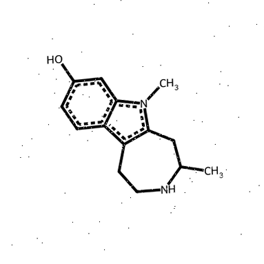 CC1Cc2c(c3ccc(O)cc3n2C)CCN1